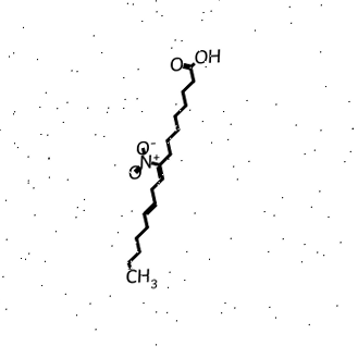 CCCCCC=CCC=C(CCCCCCCC(=O)O)[N+](=O)[O-]